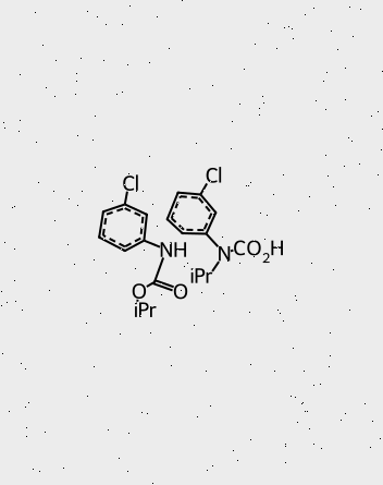 CC(C)N(C(=O)O)c1cccc(Cl)c1.CC(C)OC(=O)Nc1cccc(Cl)c1